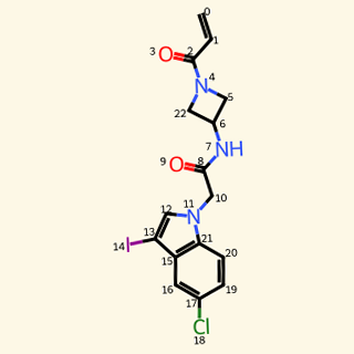 C=CC(=O)N1CC(NC(=O)Cn2cc(I)c3cc(Cl)ccc32)C1